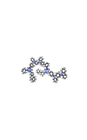 c1ccc(-c2cccc(-c3nc(-c4ccc(-n5c6ccccc6c6cc(-n7c8ccccc8c8ccccc87)ccc65)cc4)nc(-c4cccc(-c5ccc6c(c5)c5ccccc5n6-c5ccc6c(c5)c5ccccc5n6-c5ccc(-c6nc(-c7ccccc7)nc(-c7ccc8c(ccc9ccccc98)c7)n6)cc5)c4)n3)c2)cc1